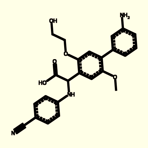 COc1cc(C(Nc2ccc(C#N)cc2)C(=O)O)c(OCCO)cc1-c1cccc(N)c1